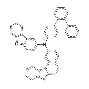 c1ccc(-c2ccccc2-c2ccc(N(c3ccc4oc5ccccc5c4c3)c3ccc4ccc5sc6ccccc6c5c4c3)cc2)cc1